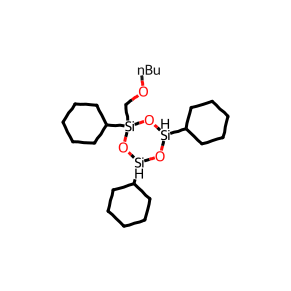 CCCCOC[Si]1(C2CCCCC2)O[SiH](C2CCCCC2)O[SiH](C2CCCCC2)O1